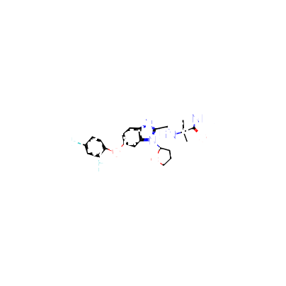 CC(C)(NCc1nc2ccc(Oc3ccc(F)cc3F)cc2n1C1CCCO1)C(N)=O